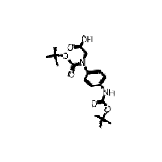 CC(C)(C)OC(=O)Nc1ccc(N(CC(=O)O)C(=O)OC(C)(C)C)cc1